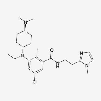 CCN(c1cc(Cl)cc(C(=O)NCCc2nccn2C)c1C)[C@H]1CC[C@H](N(C)C)CC1